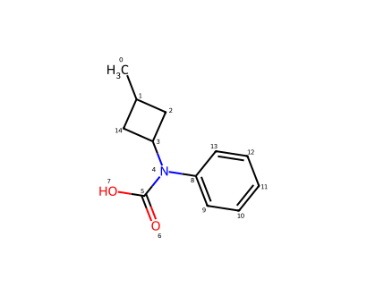 CC1CC(N(C(=O)O)c2ccccc2)C1